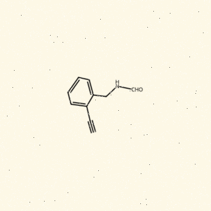 C#Cc1ccccc1CNC=O